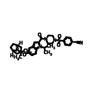 CC(C)N1[C@@H]2CC[C@H]1C[C@H](Oc1ccc3c(c1)cc(C(=O)N1CCN(S(=O)(=O)c4ccc(C#N)cc4)CC1)n3C(C)C)C2